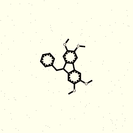 COc1cc2c(cc1OC)C(Cc1ccccc1)c1cc(OC)c(OC)cc1-2